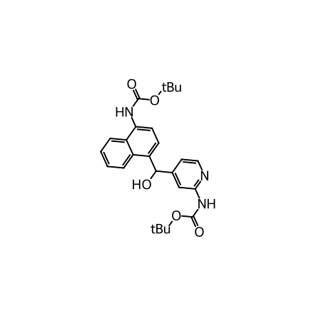 CC(C)(C)OC(=O)Nc1cc(C(O)c2ccc(NC(=O)OC(C)(C)C)c3ccccc23)ccn1